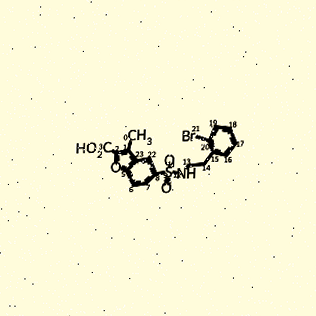 Cc1c(C(=O)O)oc2ccc(S(=O)(=O)NCCc3ccccc3Br)cc12